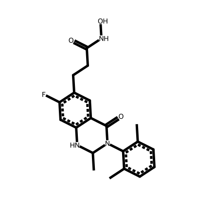 Cc1cccc(C)c1N1C(=O)c2cc(CCC(=O)NO)c(F)cc2NC1C